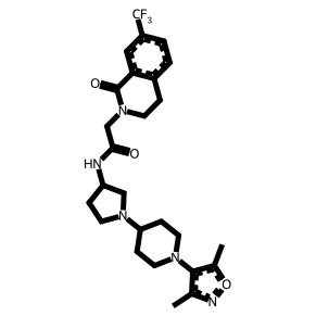 Cc1noc(C)c1N1CCC(N2CCC(NC(=O)CN3CCc4ccc(C(F)(F)F)cc4C3=O)C2)CC1